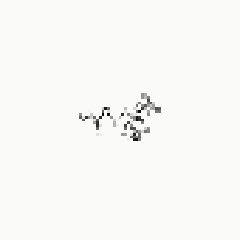 C=CC(=O)OCC[Si](C)(O[Si](C)(C)C)O[Si](C)(C)C